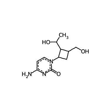 CC(O)C1C(CO)CC1n1ccc(N)nc1=O